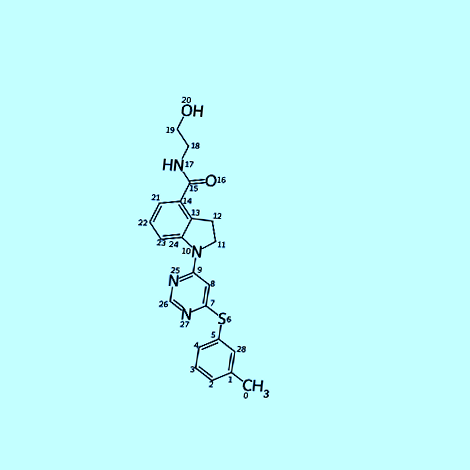 Cc1cccc(Sc2cc(N3CCc4c(C(=O)NCCO)cccc43)ncn2)c1